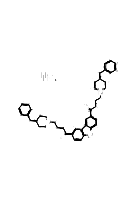 Cl.Cl.O=C(CCCN1CCC(Cc2ccccc2)CC1)c1ccc2oc3ccc(C(=O)CCCN4CCC(Cc5ccccc5)CC4)cc3c2c1